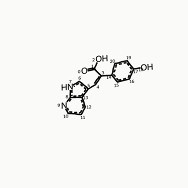 O=C(O)C(=Cc1c[nH]c2ncccc12)c1ccc(O)cc1